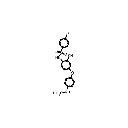 CC(C)c1ccc(S(=O)(=O)Nc2ccc(Oc3ccc(NC(=O)O)cc3)cc2C#N)cc1